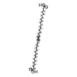 O=C(O)CCCCCCCCCCCCCCCSSSSCCCCCCCCCCCCCCCC(=O)O